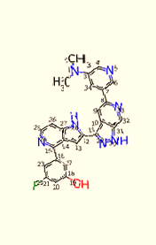 CN(C)c1cncc(-c2cc3c(-c4cc5c(-c6cc(O)cc(F)c6)nccc5[nH]4)n[nH]c3cn2)c1